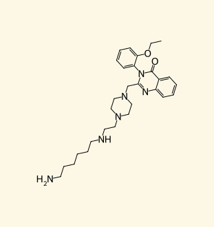 CCOc1ccccc1-n1c(CN2CCN(CCNCCCCCCN)CC2)nc2ccccc2c1=O